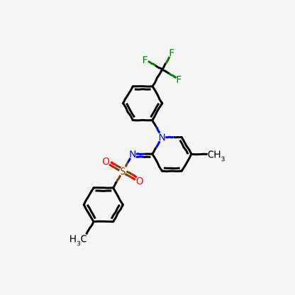 Cc1ccc(S(=O)(=O)N=c2ccc(C)cn2-c2cccc(C(F)(F)F)c2)cc1